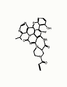 C=CC(=O)N1CCN2c3nc(=O)n(-c4c(C(C)C)ncnc4C(C)C)c4c(F)c(-c5c(O)cccc5F)c(F)c(c34)NC(=O)C2C1